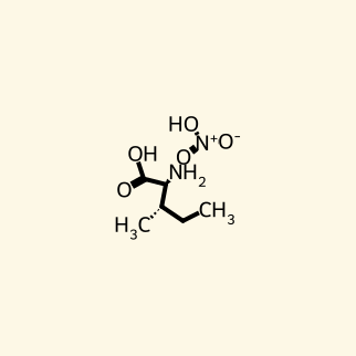 CC[C@H](C)[C@H](N)C(=O)O.O=[N+]([O-])O